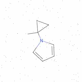 CC1(n2cccc2)CC1